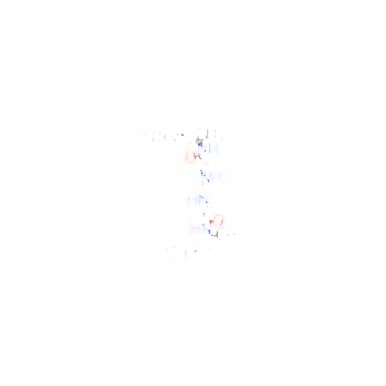 CCCCCCCCCCCCC(C)NC(=O)CCNCCNCCC(=O)NC(C)CCCCCCCCCCCC